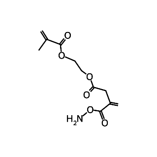 C=C(C)C(=O)OCCOC(=O)CC(=C)C(=O)ON